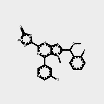 COC(c1ccccc1F)c1nc2nc(-c3n[nH]c(=O)o3)nc(-c3cncc(Cl)c3)c2n1C